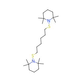 CC1(C)CCCC(C)(C)N1SCCCCCCSN1C(C)(C)CCCC1(C)C